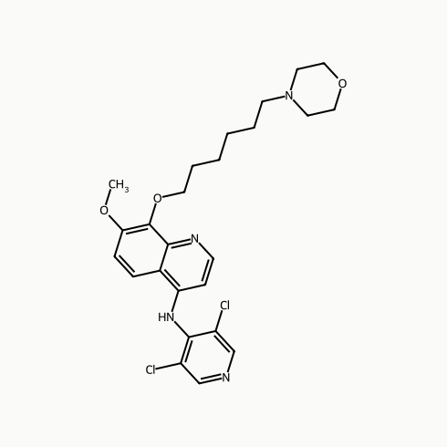 COc1ccc2c(Nc3c(Cl)cncc3Cl)ccnc2c1OCCCCCCN1CCOCC1